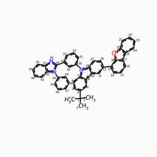 CC(C)(C)c1ccc2c(c1)c1cc(-c3cccc4c3oc3ccccc34)ccc1n2-c1cccc(-c2nc3ccccc3n2-c2ccccc2)c1